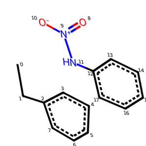 CCc1ccccc1.O=[N+]([O-])Nc1ccccc1